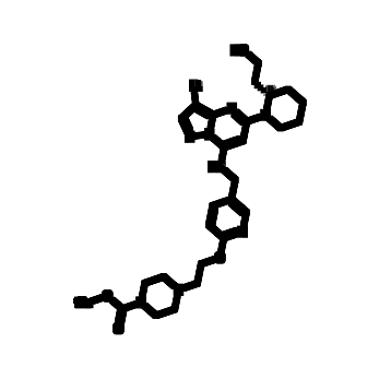 CCc1cnn2c(NCc3ccc(OCCN4CCN(C(=O)OC(C)(C)C)CC4)nc3)cc(N3CCCC[C@H]3CCO)nc12